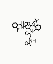 CC(=O)NCCC(=O)N1Cc2ccccc2N(CC(C)(C)C)C(=O)C1CC(=O)NCc1ccccc1F